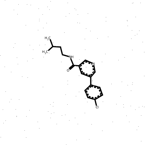 CC(C)CCNC(=O)c1cncc(-c2ccc(Cl)cc2)c1